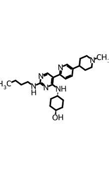 CCCCNc1ncc(-c2ccc(C3CCN(C)CC3)cn2)c(N[C@H]2CC[C@H](O)CC2)n1